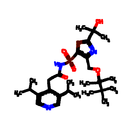 CC(C)c1cncc(C(C)C)c1CC(=O)NS(=O)(=O)c1sc(C(C)(C)O)nc1CO[Si](C)(C)C(C)(C)C